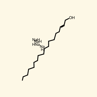 CCCCCCCCCCCCCCCC=CCO.[NaH].[NaH].[NaH].[NaH]